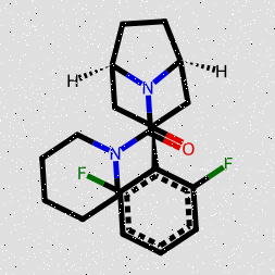 O=C(N1CCCCC1)N1[C@@H]2CC[C@H]1C[C@@H](c1c(F)cccc1F)C2